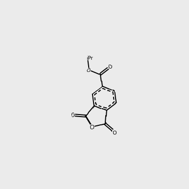 CC(C)OC(=O)c1ccc2c(c1)C(=O)OC2=O